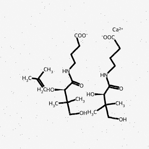 C=C(C)C.CC(C)(CO)[C@@H](O)C(=O)NCCCC(=O)[O-].CC(C)(CO)[C@@H](O)C(=O)NCCCC(=O)[O-].[Ca+2]